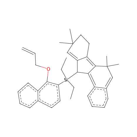 C=CCOc1c([Si](CC)(CC)C2C3=CC(C)(C)CCC3=C3C2=c2ccccc2=CC3(C)C)ccc2ccccc12